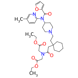 CCOC(=O)CN(CC(=O)OCC)C(=O)CC1(CCN2CCC(N(C(=O)c3ccco3)c3ccc(C)cn3)CC2)CCCCC1